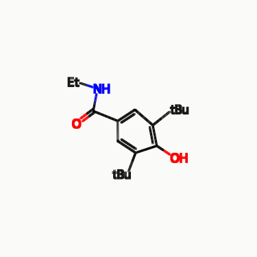 CCNC(=O)c1cc(C(C)(C)C)c(O)c(C(C)(C)C)c1